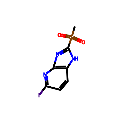 CS(=O)(=O)c1nc2nc(I)ccc2[nH]1